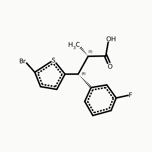 C[C@H](C(=O)O)[C@H](c1cccc(F)c1)c1ccc(Br)s1